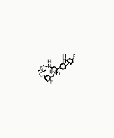 CN1CCC(NC(=O)CC(C(=O)NCc2cc(Cl)ccc2F)c2ccc3c(c2)[nH]c2cc(F)ccc23)CC1